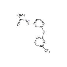 COC(=O)/C=C/c1cccc(Oc2cccc(C(F)(F)F)c2)c1